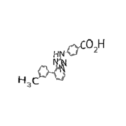 Cc1cccc(-c2cccn3nc(Nc4ccc(C(=O)O)cc4)nc23)c1